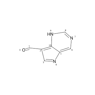 O=Cc1cnc2cnc[nH]c1-2